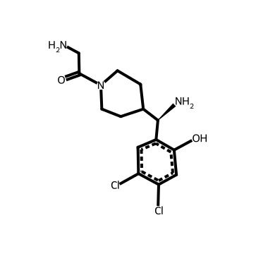 NCC(=O)N1CCC([C@@H](N)c2cc(Cl)c(Cl)cc2O)CC1